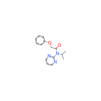 CC(C)N(C(=O)COc1ccccc1)c1ncccn1